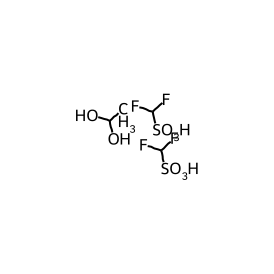 CC(O)O.O=S(=O)(O)C(F)F.O=S(=O)(O)C(F)F